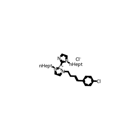 CCCCCCCn1ccnc1-[c+]1n(CC/C=C/c2ccc(Cl)cc2)ccn1CCCCCCC.[Cl-]